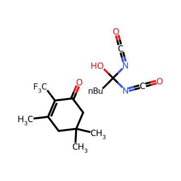 CC1=C(C(F)(F)F)C(=O)CC(C)(C)C1.CCCCC(O)(N=C=O)N=C=O